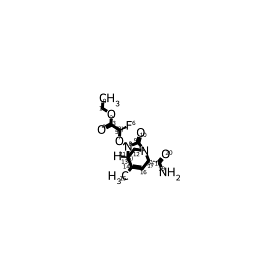 CCOC(=O)[C@@H](F)ON1C(=O)N2C[C@@H]1C(C)=C[C@H]2C(N)=O